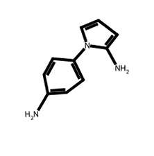 Nc1ccc(-n2cccc2N)cc1